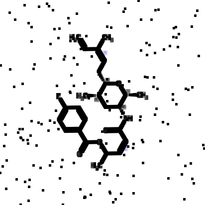 C=C/C(C)=C\C[C@@H]1O[C@H](C)[C@H](NC(=O)/C=C\C(C)OC(=O)c2ccc(F)cc2)C[C@@H]1C